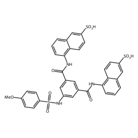 COc1ccc(S(=O)(=O)Nc2cc(C(=O)Nc3cccc4cc(S(=O)(=O)O)ccc34)cc(C(=O)Nc3cccc4cc(S(=O)(=O)O)ccc34)c2)cc1